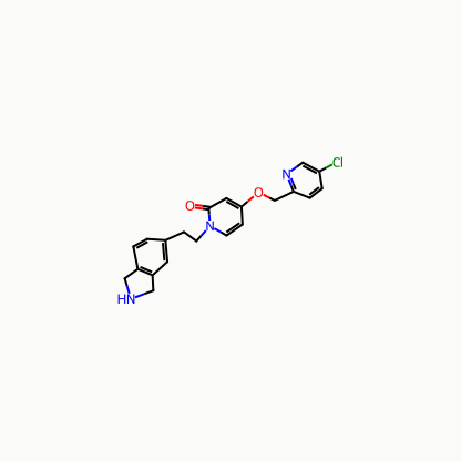 O=c1cc(OCc2ccc(Cl)cn2)ccn1CCc1ccc2c(c1)CNC2